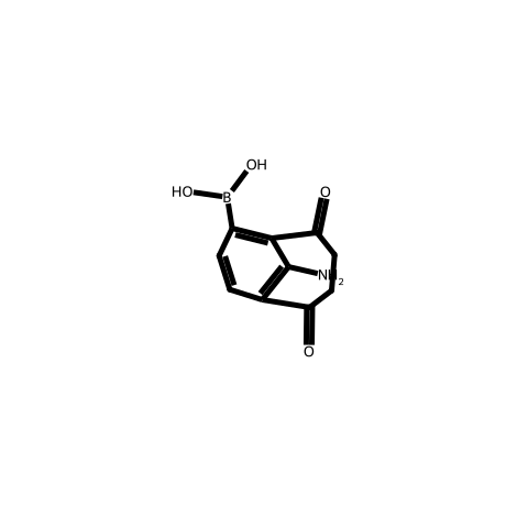 Nc1c2ccc(B(O)O)c1C(=O)CCC2=O